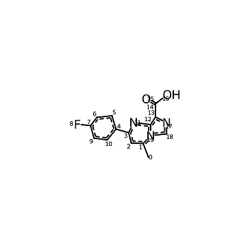 Cc1cc(-c2ccc(F)cc2)nc2c(C(=O)O)ncn12